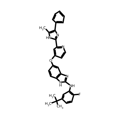 Cc1[nH]c(-c2cc(Oc3ccc4[nH]c(Nc5cc(C(C)(C)C)ccc5F)nc4c3)ccn2)nc1-c1ccccc1